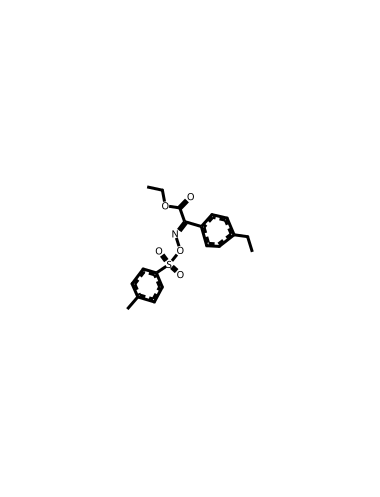 CCOC(=O)/C(=N/OS(=O)(=O)c1ccc(C)cc1)c1ccc(CC)cc1